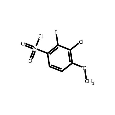 COc1ccc(S(=O)(=O)Cl)c(F)c1Cl